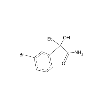 CCC(O)(C(N)=O)c1cccc(Br)c1